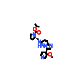 COc1cnccc1-c1cnc2ccc(NC[C@@H]3CCCN3C(=O)OC(C)C)nn12